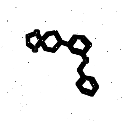 c1ccc(COc2cccc(C3CCC4(CC3)OCCO4)c2)cc1